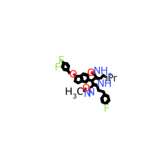 Cc1nnc(C2=C(CCc3ccc(F)cc3)NC(CC(C)C)=C(C(N)=O)C2c2ccc3c(c2)CCC3OCc2ccc(F)c(F)c2)o1